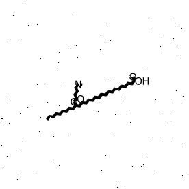 CCCCCCCCCC(CCCCCCC=CCCCCCCCCCC(=O)O)OC(=O)CCCN(C)C